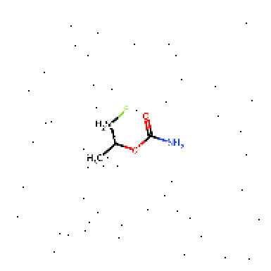 CC(OC(N)=O)[SiH2]F